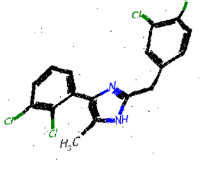 Cc1[nH]c(Cc2ccc(Cl)c(Cl)c2)nc1-c1cccc(Cl)c1Cl